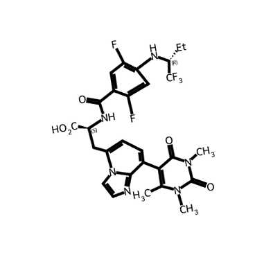 CC[C@@H](Nc1cc(F)c(C(=O)N[C@@H](Cc2ccc(-c3c(C)n(C)c(=O)n(C)c3=O)c3nccn23)C(=O)O)cc1F)C(F)(F)F